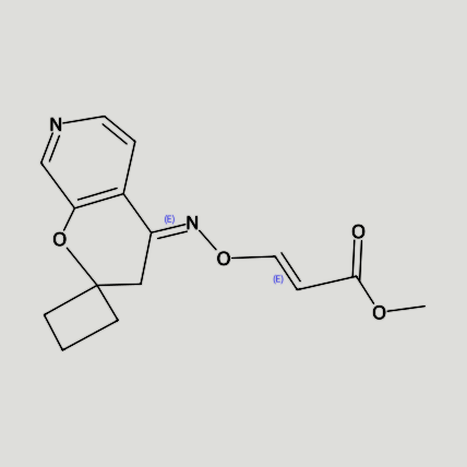 COC(=O)/C=C/O/N=C1\CC2(CCC2)Oc2cnccc21